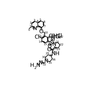 Cc1ccc2cccc(OCc3c(Cl)ccc(S(=O)(=O)N4CCC[C@H]4C(=O)NC4CCN(C=NN)CC4)c3Cl)c2n1.Cl.Cl